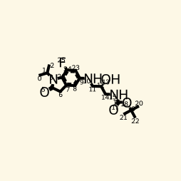 CC(C)N1C(=O)Cc2cc(NC[C@H](O)CNC(=O)OC(C)(C)C)cc(F)c21